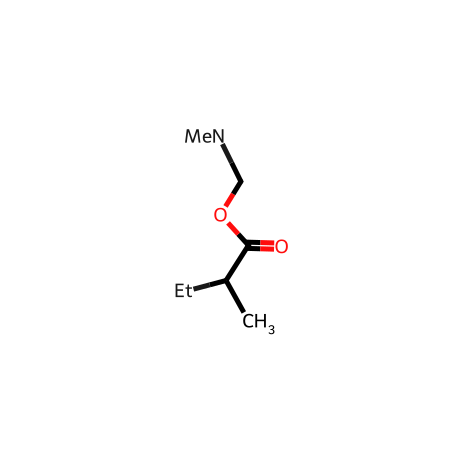 CCC(C)C(=O)OCNC